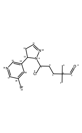 CC(C)(C=O)CCC(Cl)N1N=CCC1c1cncc(Br)c1